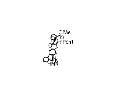 CCCCCc1c(Cc2ccc(-c3ccccc3-c3nnn[nH]3)cc2)c(=O)n2n1C1(C(=O)OC)C=CC2CC1